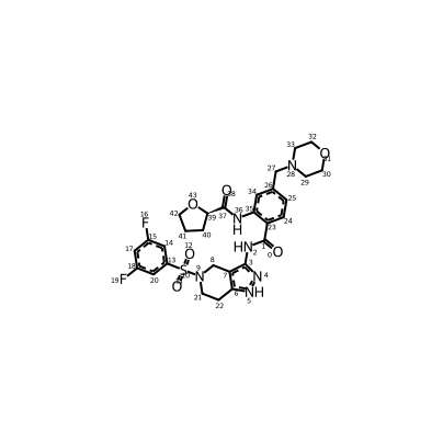 O=C(Nc1n[nH]c2c1CN(S(=O)(=O)c1cc(F)cc(F)c1)CC2)c1ccc(CN2CCOCC2)cc1NC(=O)[C@H]1CCCO1